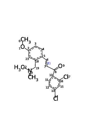 COc1ccc(/C=C/C(=O)c2ccc(Cl)cc2Cl)c(CN(C)C)c1